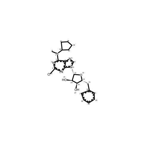 CN(c1nc(Cl)nc2c1ncn2[C@@H]1O[C@H](Cc2[c]cccc2)[C@@H](O)[C@H]1O)C1CCCC1